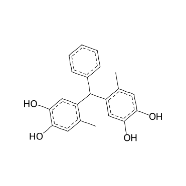 Cc1cc(O)c(O)cc1C(c1ccccc1)c1cc(O)c(O)cc1C